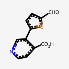 O=Cc1ccc(-c2cnccc2C(=O)O)s1